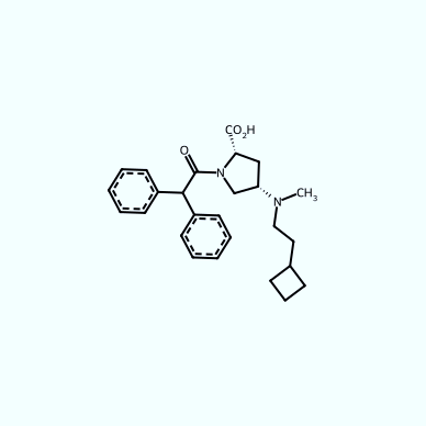 CN(CCC1CCC1)[C@H]1C[C@@H](C(=O)O)N(C(=O)C(c2ccccc2)c2ccccc2)C1